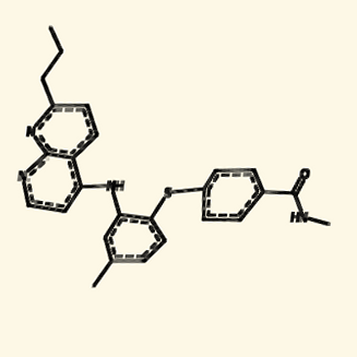 CCCc1ccc2c(Nc3cc(C)ccc3Sc3ccc(C(=O)NC)cc3)ccnc2n1